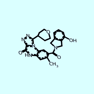 Cc1cc2[nH]c(=O)c3nnc(C4CCOCC4)n3c2cc1C(=O)N1Cc2cccc(O)c2C1